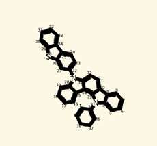 C1=CC(n2c3ccccc3c3ccc4c(c5ccccc5n4-c4ccc5c(c4)sc4ccccc45)c32)=CCC1